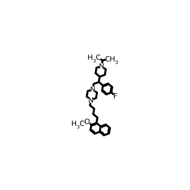 COc1ccc2ccccc2c1CCCCN1CCN(CC(c2ccc(F)cc2)C2CCN(C(C)C)CC2)CC1